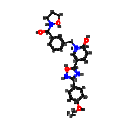 O=C(c1cccc(Cn2cc(-c3nc(-c4ccc(OC(F)(F)F)cc4)no3)ccc2=O)c1)N1CCCO1